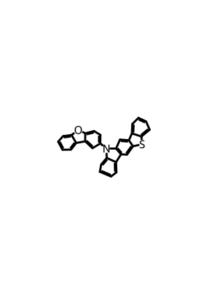 c1ccc2c(c1)oc1ccc(-n3c4ccccc4c4cc5sc6ccccc6c5cc43)cc12